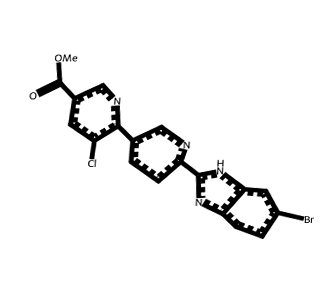 COC(=O)c1cnc(-c2ccc(-c3nc4ccc(Br)cc4[nH]3)nc2)c(Cl)c1